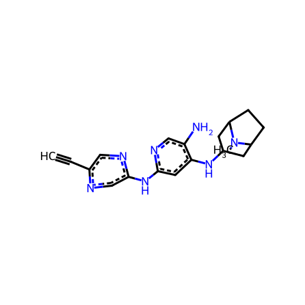 C#Cc1cnc(Nc2cc(NC3CC4CCC(C3)N4C)c(N)cn2)cn1